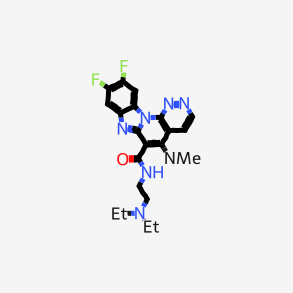 CCN(CC)CCNC(=O)c1c(NC)c2ccnnc2n2c1nc1cc(F)c(F)cc12